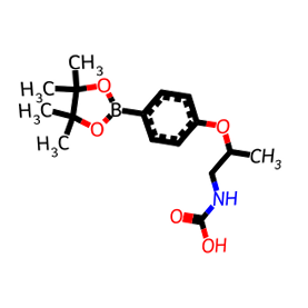 CC(CNC(=O)O)Oc1ccc(B2OC(C)(C)C(C)(C)O2)cc1